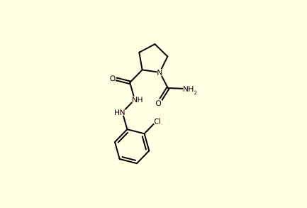 NC(=O)N1CCCC1C(=O)NNc1ccccc1Cl